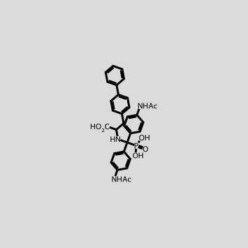 CC(=O)Nc1ccc(C(NC(Cc2ccc(-c3ccccc3)cc2)C(=O)O)(c2ccc(NC(C)=O)cc2)P(=O)(O)O)cc1